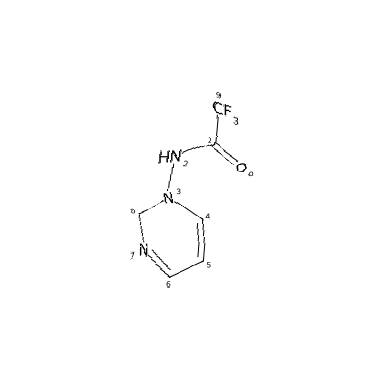 O=C(NN1C=CC=NC1)C(F)(F)F